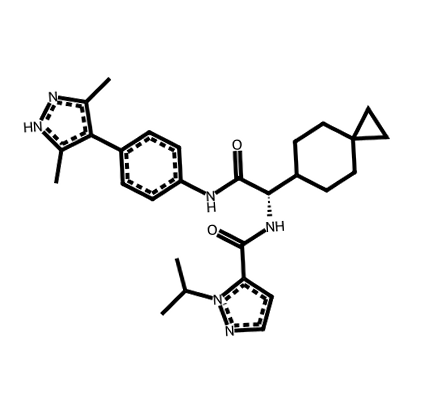 Cc1n[nH]c(C)c1-c1ccc(NC(=O)[C@@H](NC(=O)c2ccnn2C(C)C)C2CCC3(CC2)CC3)cc1